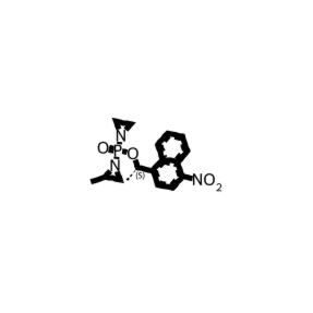 CC1CN1P(=O)(O[C@@H](C)c1ccc([N+](=O)[O-])c2ccccc12)N1CC1